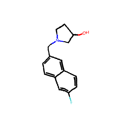 OC1CCN(Cc2ccc3cc(F)ccc3c2)C1